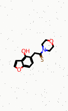 Oc1c(CC(=S)N2CCOCC2)ccc2occc12